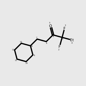 CCC(F)(F)C(=O)CCC1CCCCC1